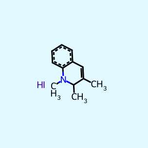 CC1=Cc2ccccc2N(C)C1C.I